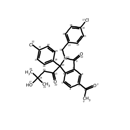 CC(=O)c1ccc2c(c1)C(=O)N(Cc1ccc(Cl)cc1)C2(C(=O)CC(C)(C)O)c1ccc(Cl)cc1